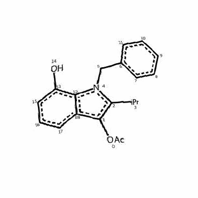 CC(=O)Oc1c(C(C)C)n(Cc2ccccc2)c2c(O)cccc12